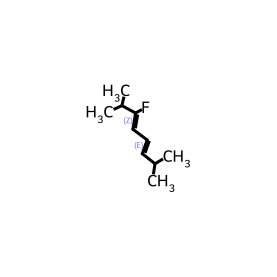 CC(C)/C=C/C=C(\F)C(C)C